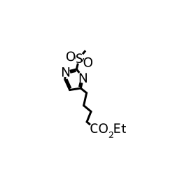 CCOC(=O)CCCCc1ccnc(S(C)(=O)=O)n1